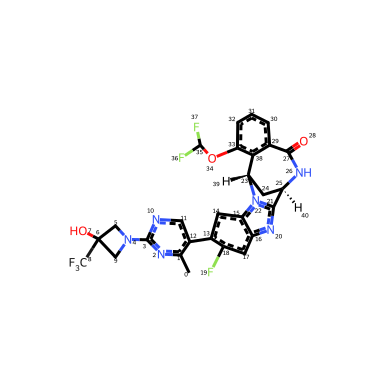 Cc1nc(N2CC(O)(C(F)(F)F)C2)ncc1-c1cc2c(cc1F)nc1n2[C@H]2C[C@H]1NC(=O)c1cccc(OC(F)F)c12